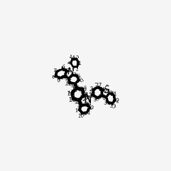 C1CCC(N2C3CCCCC3C3CC(C4CCC5C6CCCCC6N(C6CCC7SC8CCCCC8C7C6)C5C4)CCC32)CC1